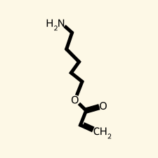 C=CC(=O)OCCCCCN